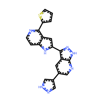 c1csc(-c2nccc3[nH]c(-c4n[nH]c5ncc(-c6cn[nH]c6)cc45)cc23)c1